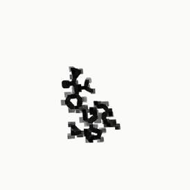 CC(C)N(C(=O)C1CC1)c1cccc(-c2cc(-c3ccnn3C3CC3)c3c(N)ncnn23)c1